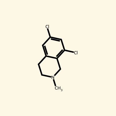 CN1CCc2cc(Cl)cc(Cl)c2C1